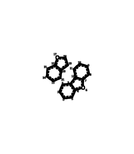 c1ccc2c(c1)oc1ccccc12.c1ccc2occc2c1